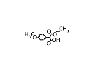 CCCOC(=O)C(C(=O)O)c1ccc(OC)cc1